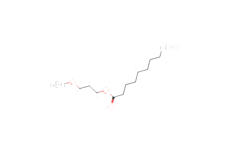 CCCCCCCCCCCCCCCCCC(=O)OCCCOCCCC